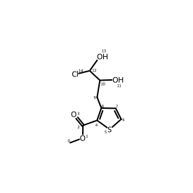 COC(=O)c1sccc1CC(O)C(O)Cl